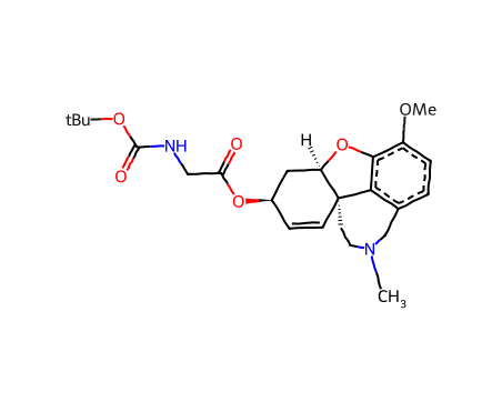 COc1ccc2c3c1O[C@@H]1C[C@H](OC(=O)CNC(=O)OC(C)(C)C)C=C[C@]31CCN(C)C2